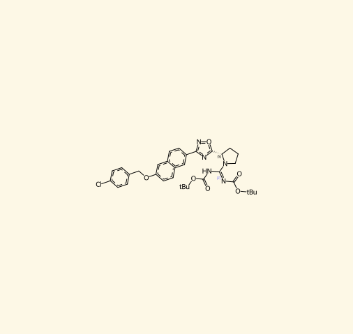 CC(C)(C)OC(=O)/N=C(/NC(=O)OC(C)(C)C)N1CCC[C@H]1c1nc(-c2ccc3cc(OCc4ccc(Cl)cc4)ccc3c2)no1